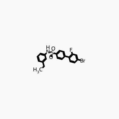 CCc1cccc(NS(=O)(=O)c2ccc(-c3ccc(Br)cc3F)cc2)c1